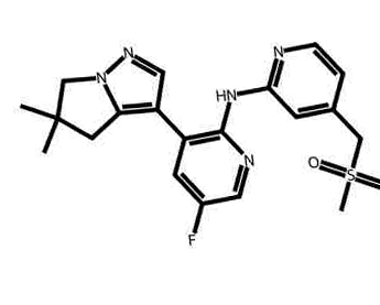 CC1(C)Cc2c(-c3cc(F)cnc3Nc3cc(CS(C)(=O)=O)ccn3)cnn2C1